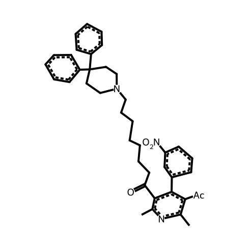 CC(=O)c1c(C)nc(C)c(C(=O)CCCCCCCN2CCC(c3ccccc3)(c3ccccc3)CC2)c1-c1cccc([N+](=O)[O-])c1